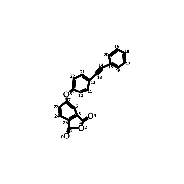 O=C1OC(=O)c2cc(Oc3ccc(C#Cc4ccccc4)cc3)ccc21